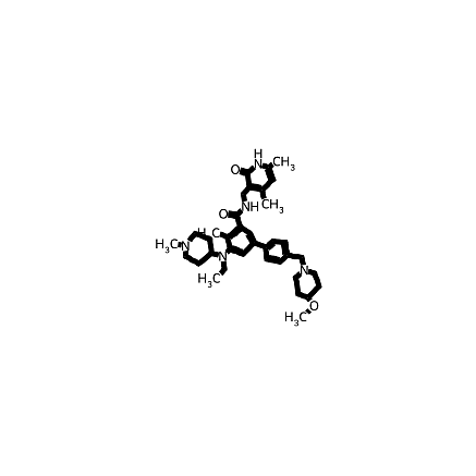 CCN(c1cc(-c2ccc(CN3CCC(OC)CC3)cc2)cc(C(=O)NCc2c(C)cc(C)[nH]c2=O)c1C)C1CCN(C)CC1